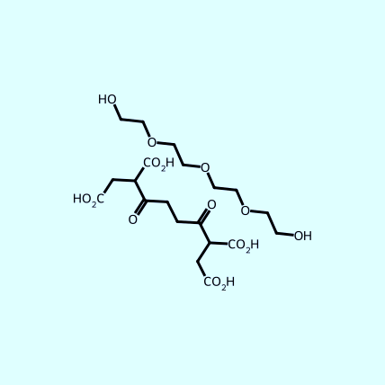 O=C(O)CC(C(=O)O)C(=O)CCC(=O)C(CC(=O)O)C(=O)O.OCCOCCOCCOCCO